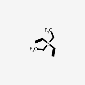 C=CS(C=C)(CC(F)(F)F)CC(F)(F)F